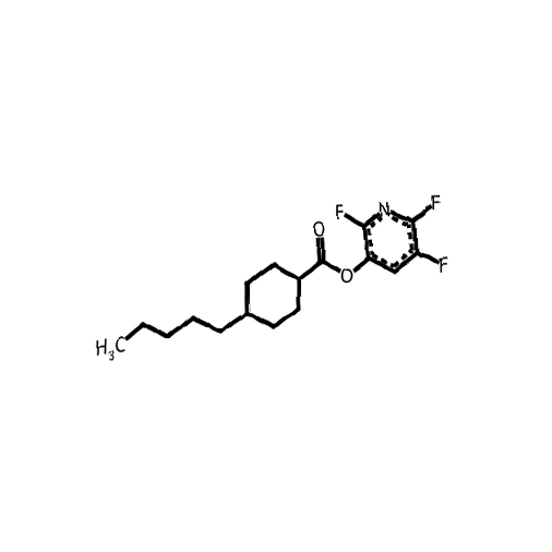 CCCCCC1CCC(C(=O)Oc2cc(F)c(F)nc2F)CC1